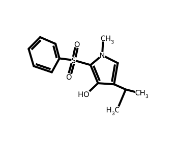 CC(C)c1cn(C)c(S(=O)(=O)c2ccccc2)c1O